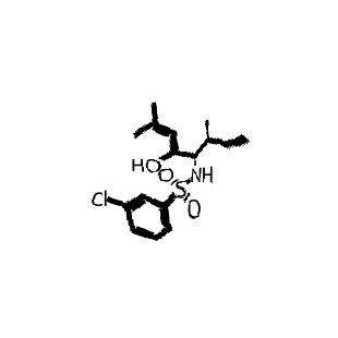 CC[C@H](C)[C@H](NS(=O)(=O)c1cccc(Cl)c1)C(O)C=C(C)C